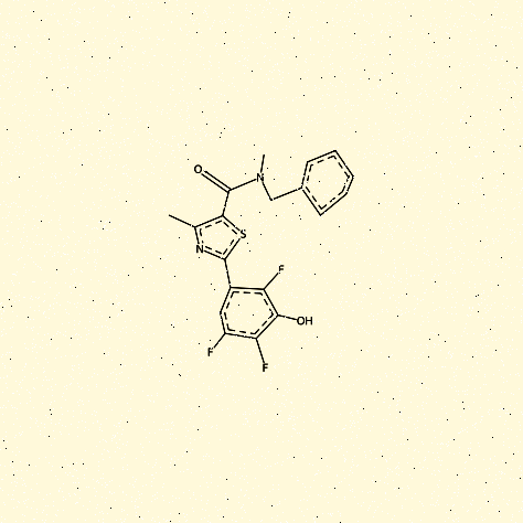 Cc1nc(-c2cc(F)c(F)c(O)c2F)sc1C(=O)N(C)Cc1ccccc1